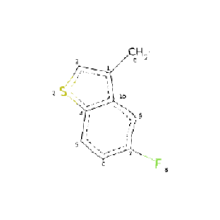 [CH2]c1csc2ccc(F)cc12